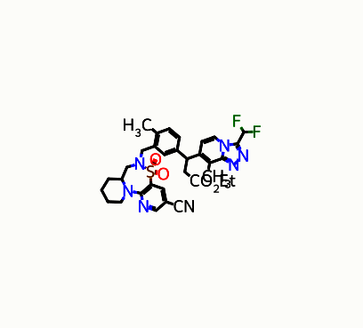 CCOC(=O)CC(c1ccc(C)c(CN2CC3CCCCN3c3ncc(C#N)cc3S2(=O)=O)c1)c1ccn2c(C(F)F)nnc2c1C